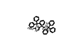 CCCCc1ncc(C[C@H](NC(c2ccccc2)(c2ccccc2)c2ccccc2)C(=O)O)n1C(c1ccccc1)(c1ccccc1)c1ccccc1